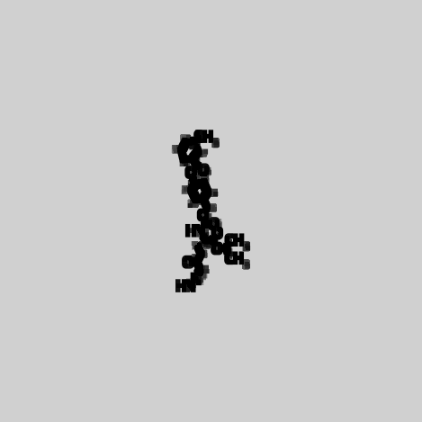 CC(C)OC(=O)[C@H](CCC(=O)C=[N+]=N)NC(=O)OCc1ccc(OC(=O)C2=CN(C)C=CC2)cc1